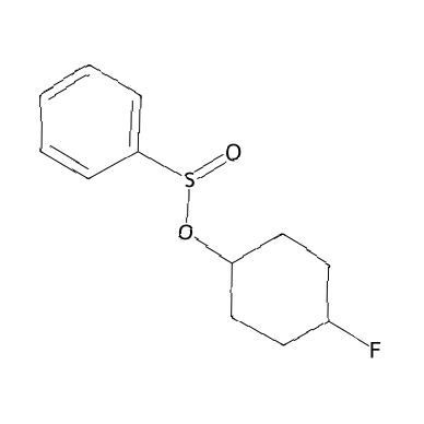 O=S(OC1CCC(F)CC1)c1ccccc1